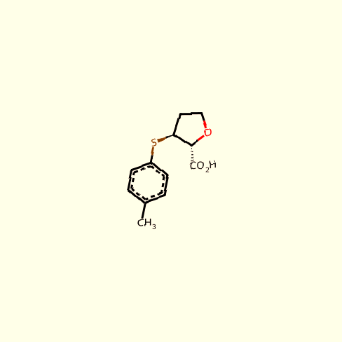 Cc1ccc(S[C@H]2CCO[C@@H]2C(=O)O)cc1